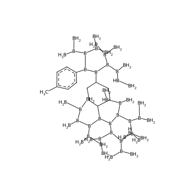 BBB(B)B(B(B(B)B)B(B)B)B(B(B(B)B)B(BB)B(B)B)B(B(B(B)B)B(B)B(B)B)C1CCC(B(B(B(B)B)B(B)BB)B(B(B(B)B)B(B)B)c2ccc(C)cc2)CC1